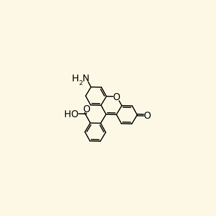 NC1C=c2oc3cc(=O)ccc-3c(-c3ccccc3C(=O)O)c2=CC1